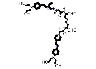 C=CC(/C=C/c1ccc(N(CCO)CCO)cc1)=C\C=[N+](/C)CC(=O)NC(C=O)CSSCC(C=O)NC(=O)C[n+]1ccc(/C=C/c2ccc(N(CCO)CCO)cc2)cc1